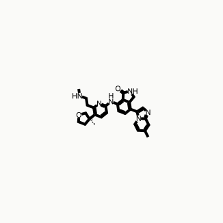 CNCCc1nc(Nc2ccc(-c3cnc4cc(C)ccn34)c3c2C(=O)NC3)ccc1[C@@]1(C)CCOC1